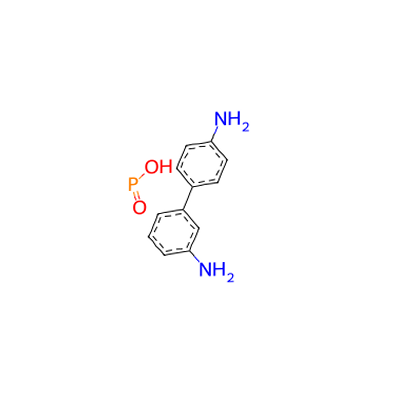 Nc1ccc(-c2cccc(N)c2)cc1.O=PO